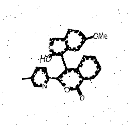 COc1ccc2ccc(O)c(-c3c(-c4ccc(C)cn4)oc(=O)c4ccccc34)c2c1